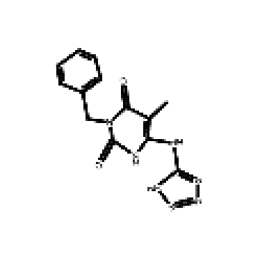 Cc1c(Nc2nnn[nH]2)[nH]c(=O)n(Cc2ccccc2)c1=O